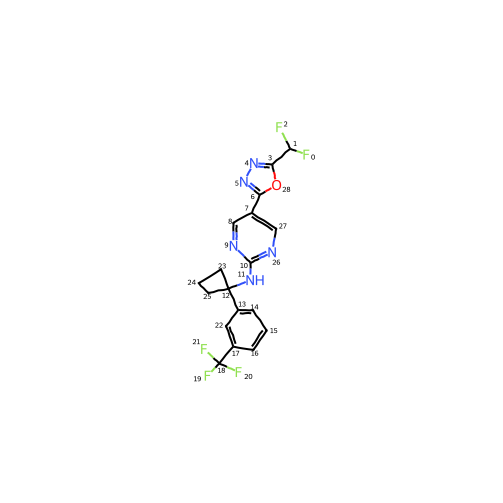 FC(F)c1nnc(-c2cnc(NC3(c4cccc(C(F)(F)F)c4)CCC3)nc2)o1